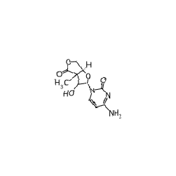 CC12C(=O)OC[C@H]1O[C@@H](n1ccc(N)nc1=O)C2O